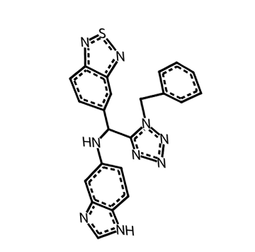 c1ccc(Cn2nnnc2C(Nc2ccc3[nH]cnc3c2)c2ccc3nsnc3c2)cc1